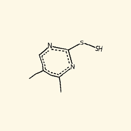 Cc1cnc(SS)nc1C